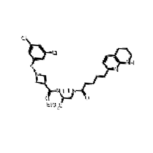 CCOC(=O)C(CNC(=O)CCCCc1ccc2c(n1)NCCC2)NC(=O)C1CN(Sc2cc(Cl)cc(Cl)c2)C1